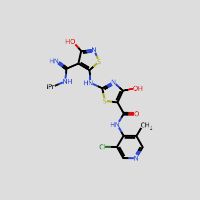 Cc1cncc(Cl)c1NC(=O)c1sc(Nc2snc(O)c2C(=N)NC(C)C)nc1O